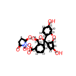 O=C(O[N+]1(O)C(=O)CCC1=O)c1cccc2c1C(=O)OC21c2ccc(O)cc2Oc2cc(O)ccc21